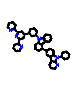 c1ccc(-n2c3ccc(-c4cccc5c4c4ccccc4n5-c4cccc(-c5cc(-c6ccccn6)nc(-c6ccccn6)c5)c4)cc3c3cccnc32)cc1